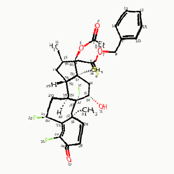 CCC(=O)O[C@]1(C(=S)OCc2ccccc2)[C@H](C)C[C@H]2[C@@H]3C[C@H](F)C4=C(F)C(=O)C=C[C@]4(C)[C@]3(F)[C@@H](O)C[C@@]21C